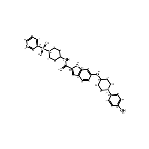 O=C(NC1CCN(S(=O)(=O)c2cccnc2)CC1)c1cc2ccc(OC3CCN(c4ccc(O)cc4)CC3)cc2o1